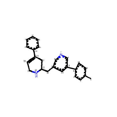 Cc1ccc(-c2cncc(CC3CC(c4ccccc4)=CCN3)c2)cc1